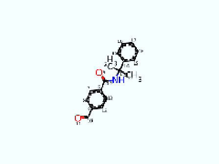 CC(C)(NC(=O)c1ccc(C=O)cc1)c1ccccc1